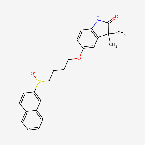 CC1(C)C(=O)Nc2ccc(OCCCC[S+]([O-])c3ccc4ccccc4c3)cc21